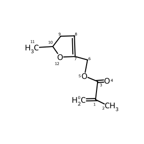 C=C(C)C(=O)OCC1=CCC(C)O1